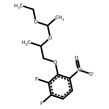 CCOC(C)OC(C)COc1c([N+](=O)[O-])ccc(F)c1F